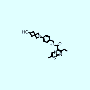 CCc1nc2sc(C)cn2c1C(=O)NCc1ccc(N2CC3(CC(O)C3)C2)cc1